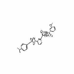 C=C(C)c1ccc(-c2nnc(-c3cccc(C(=O)NNC(=O)c4cccc(OC)c4)c3)o2)cc1